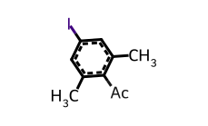 CC(=O)c1c(C)cc(I)cc1C